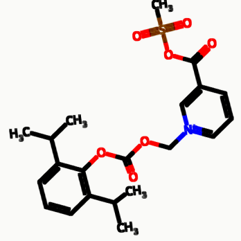 CC(C)c1cccc(C(C)C)c1OC(=O)OC[n+]1cccc(C(=O)OS(C)(=O)=O)c1